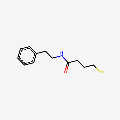 O=C(CCCS)NCCc1cc[c]cc1